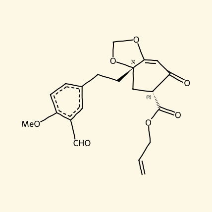 C=CCOC(=O)[C@@H]1C[C@]2(CCc3ccc(OC)c(C=O)c3)OCOC2=CC1=O